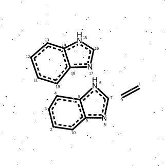 C=C.c1ccc2[nH]cnc2c1.c1ccc2[nH]cnc2c1